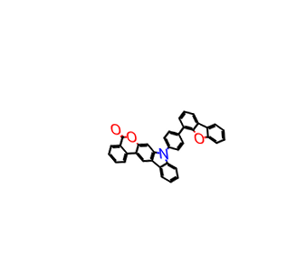 O=c1oc2cc3c(cc2c2ccccc12)c1ccccc1n3-c1ccc(-c2cccc3c2oc2ccccc23)cc1